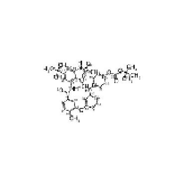 COc1c(NC(=O)c2ccc(C)c(Oc3ccnc(CN4CCN(OC(=O)OC(C)(C)C)CC4)c3)c2)cc(C(C)(C)C)cc1NS(C)(=O)=O